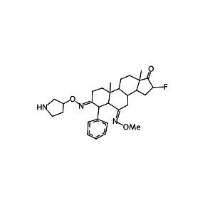 CO/N=C1\CC2C3CC(F)C(=O)C3(C)CCC2C2(C)CC/C(=N\OC3CCNC3)C(c3ccccc3)C12